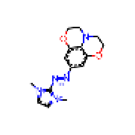 Cn1cc[n+](C)c1/N=N/c1cc2c3c(c1)OCCN3CCO2